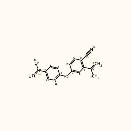 C=C(C)c1cc(Oc2ccc([N+](=O)[O-])cn2)ccc1C#N